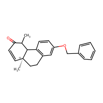 CC1C(=O)C=C[C@]2(C)CCc3cc(OCc4ccccc4)ccc3C12